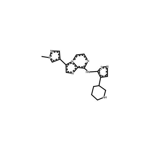 Cn1cc(-c2cnc3c(Nc4sncc4C4CCCNC4)nccn23)cn1